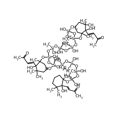 CC(=O)/C=C/C1(O)C(C)(C)CCCC1(C)O[Si](C)(O)O[Si](C)(O)O[Si](C)(O)O[Si](C)(O)O[Si](C)(O)O[Si](C)(OC1(C)CCCC(C)(C)C1(O)/C=C/C(C)=O)O[Si](C)(O)O[Si](C)(O)O[Si](C)(O)O[Si](C)(OC1(C)CCCC(C)(C)C1(O)/C=C/C(C)=O)O[Si](C)(O)O